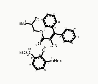 CCCCC(CC)COC(=O)C(C#N)=C(c1ccccc1)c1ccccc1.CCCCCCc1cccc(C(=O)OCC)c1O